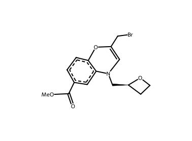 COC(=O)c1ccc2c(c1)N(C[C@@H]1CCO1)C=C(CBr)O2